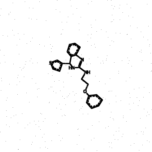 c1ccc(OCCNC2=Nc3ccccc3C(c3ccsc3)N2)cc1